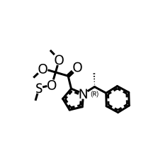 COC(OC)(OSC)C(=O)c1cccn1[C@H](C)c1ccccc1